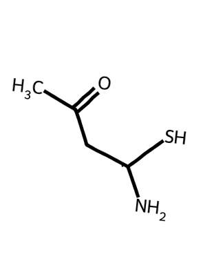 CC(=O)C[C](N)S